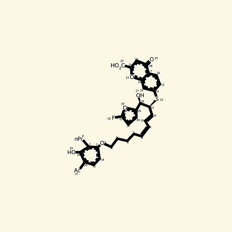 CCCc1c(OCCCC/C=C\C=C\[C@H](Sc2ccc3c(=O)cc(C(=O)O)oc3c2)[C@H](O)c2ccc(F)o2)ccc(C(C)=O)c1O